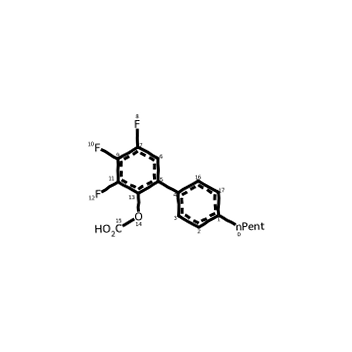 CCCCCc1ccc(-c2cc(F)c(F)c(F)c2OC(=O)O)cc1